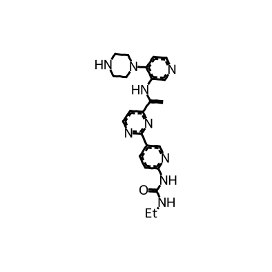 C=C(Nc1cnccc1N1CCNCC1)c1ccnc(-c2ccc(NC(=O)NCC)nc2)n1